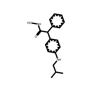 CC(C)CNc1ccc(C(C(=O)NO)c2ccccc2)cc1